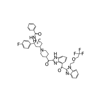 CCC(CC(CNC(=O)c1ccccc1)c1ccc(F)cc1)N1CCC(C(=O)c2nc3c(C(=O)c4nc5ccccc5n4CCOCC(F)(F)F)cccc3[nH]2)CC1